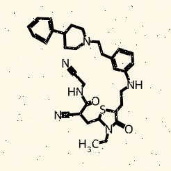 CCN1C(=O)C(CCNc2cccc(CCN3CCC(c4ccccc4)CC3)c2)SC1CC(C#N)C(=O)NCC#N